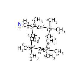 C[Si](C)(C)[Zn][Si](C)(C)C.C[Si](C)(C)[Zn][Si](C)(C)C.[N]